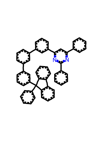 c1ccc(-c2cc(-c3cccc(-c4cccc(-c5cccc(C6(c7ccccc7)c7ccccc7-c7ccccc76)c5)c4)c3)nc(-c3ccccc3)n2)cc1